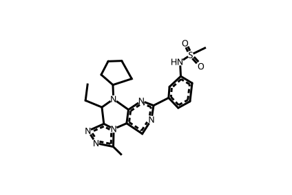 CCC1c2nnc(C)n2-c2cnc(-c3cccc(NS(C)(=O)=O)c3)nc2N1C1CCCC1